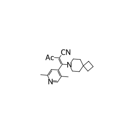 CC(=O)/C(C#N)=C(\c1cc(C)ncc1C)N1CCC2(CCC2)CC1